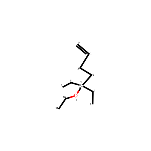 C=CCC[Si](CC)(CC)OCC